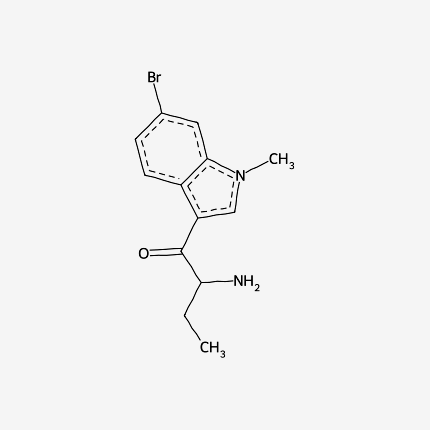 CCC(N)C(=O)c1cn(C)c2cc(Br)ccc12